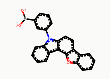 OB(O)c1cccc(-n2c3ccccc3c3c4oc5ccccc5c4ccc32)c1